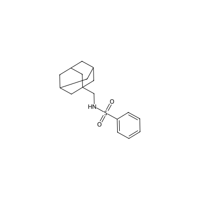 O=S(=O)(NCC12CC3CC(CC(C3)C1)C2)c1ccccc1